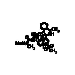 CN[C@@H](C)C(=O)N[C@H](C(=O)N1CC[C@@H]2[C@H]1[C@@H](C(=O)N[C@H](C)C1CCCCC1)CN2S(C)(=O)=O)C(C)(C)C